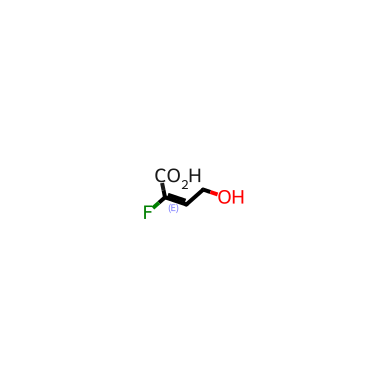 O=C(O)/C(F)=C\CO